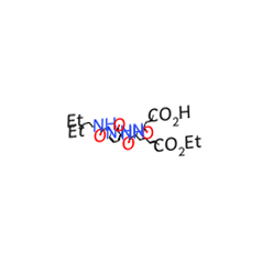 CCOC(=O)C=CCCC(NC(=O)CCC(=O)O)C(=O)Nc1cccn(CC(=O)NCCC(CC)CC)c1=O